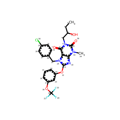 CCC(O)Cn1c(=O)c2c(nc(Oc3cccc(OC(F)(F)F)c3)n2Cc2ccc(Cl)cc2)n(C)c1=O